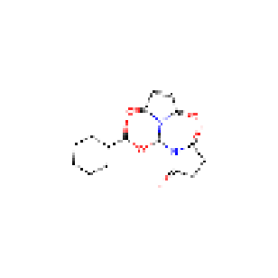 O=C(OC(N1C(=O)C=CC1=O)N1C(=O)CCC1=O)C1CCCCC1